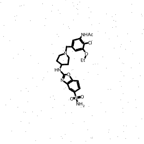 CCOc1cc(CN2CCC(Nc3nc4cc(S(N)(=O)=O)ccc4o3)CC2)cc(NC(C)=O)c1Cl